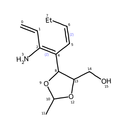 C=C/C(N)=C(\C=C/CC)C1OC(C)OC1CO